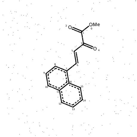 COC(=O)C(=O)/C=C/c1cccc2ccccc12